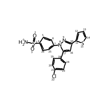 NS(=O)(=O)c1ccc(-n2nc(-c3cccs3)cc2-c2ccc(Cl)cc2)cc1